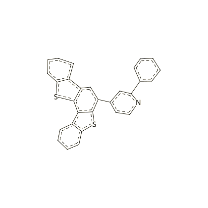 c1ccc(-c2cc(-c3cc4c5ccccc5sc4c4c3sc3ccccc34)ccn2)cc1